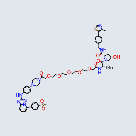 Cc1ncsc1-c1ccc(CNC(=O)[C@@H]2C[C@@H](O)CN2C(=O)[C@@H](NC(=O)COCCOCCOCCOCCOCC(=O)N2CCN(c3ccc(Nc4nc5cccc(-c6ccc(S(C)(=O)=O)cc6)n5n4)cc3)CC2)C(C)(C)C)cc1